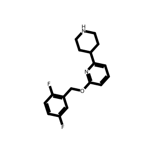 Fc1ccc(F)c(COc2cccc(C3CCNCC3)n2)c1